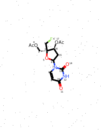 CC(=O)OC[C@@]1(CF)OC(n2ccc(=O)[nH]c2=O)C[C@@H]1OC(C)=O